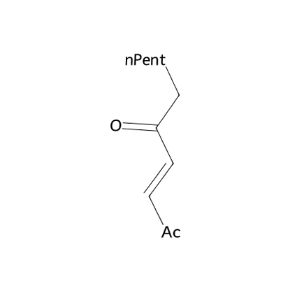 CCCCCCC(=O)/C=C/C(C)=O